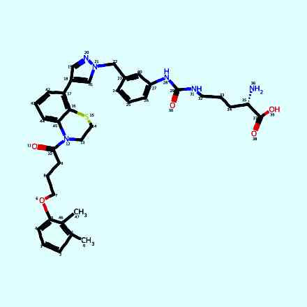 Cc1cccc(OCCCC(=O)N2CCSc3c(-c4cnn(Cc5cccc(NC(=O)NCCC[C@H](N)C(=O)O)c5)c4)cccc32)c1C